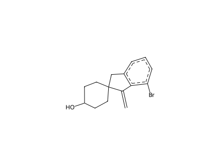 C=C1c2c(Br)cccc2CC12CCC(O)CC2